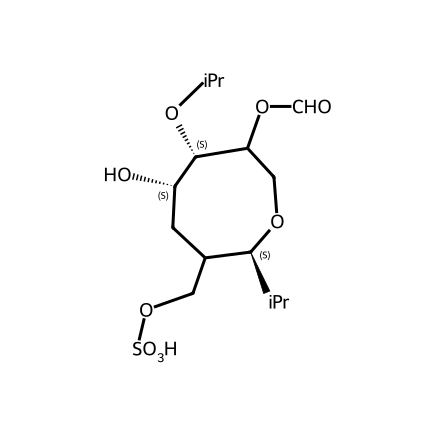 CC(C)O[C@@H]1C(OC=O)CO[C@@H](C(C)C)C(COS(=O)(=O)O)C[C@@H]1O